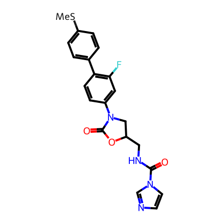 CSc1ccc(-c2ccc(N3CC(CNC(=O)n4ccnc4)OC3=O)cc2F)cc1